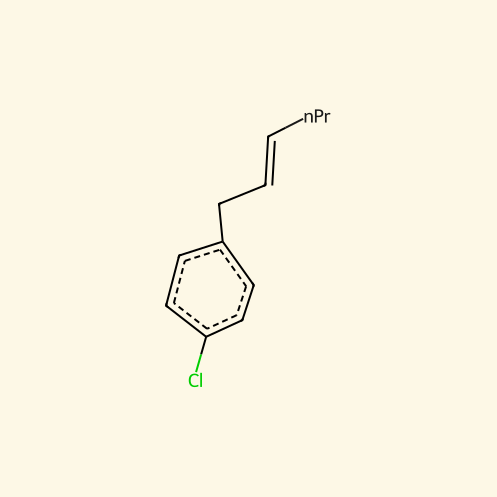 CCCC=CCc1ccc(Cl)cc1